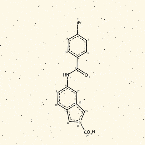 CC(C)c1ccc(C(=O)Nc2ccc3cn(C(=O)O)cc3c2)cc1